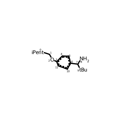 CCCC(C)COc1ccc(C(N)C(C)(C)C)cc1